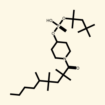 C=P(O)(OC1CCN(C(=O)C(C)(C)CC(C)(C)C(C)CCCC)CC1)OC(C)(C)CC(C)(C)C